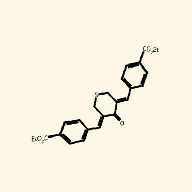 CCOC(=O)c1ccc(C=C2CSCC(=Cc3ccc(C(=O)OCC)cc3)C2=O)cc1